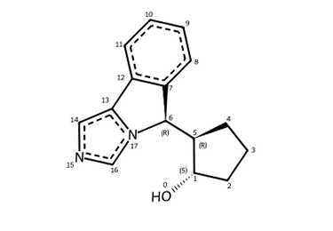 O[C@H]1CCC[C@@H]1[C@@H]1c2ccccc2-c2cncn21